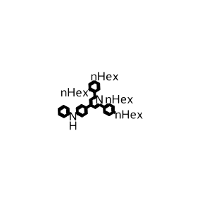 CCCCCCc1ccc(-c2cc(-c3ccc(Nc4ccccc4)cc3)cc(-c3ccc(CCCCCC)cc3CCCCCC)n2)c(CCCCCC)c1